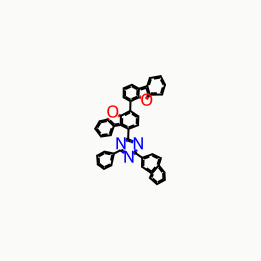 c1ccc(-c2nc(-c3ccc4ccccc4c3)nc(-c3ccc(-c4cccc5c4oc4ccccc45)c4oc5ccccc5c34)n2)cc1